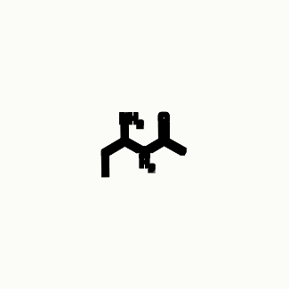 CCC(N)[SiH2]C(C)=O